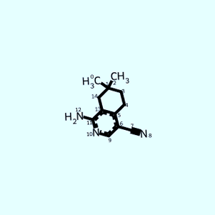 CC1(C)CCc2c(C#N)cnc(N)c2C1